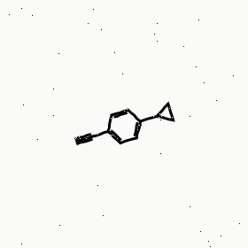 C#Cc1ccc(C2CC2)cc1